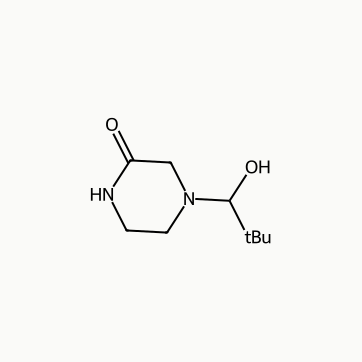 CC(C)(C)C(O)N1CCNC(=O)C1